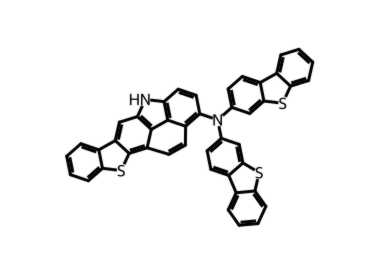 c1ccc2c(c1)sc1cc(N(c3ccc4c(c3)sc3ccccc34)c3ccc4[nH]c5cc6c7ccccc7sc6c6ccc3c4c56)ccc12